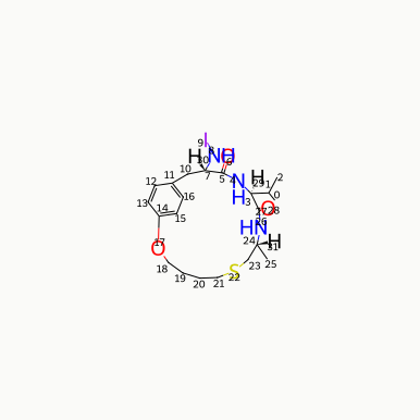 CC(C)[C@@H]1NC(=O)[C@@H](NI)Cc2ccc(cc2)OCCCCSC[C@@H](C)NC1=O